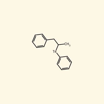 CC(Cc1ccccc1)[Te]c1ccccc1